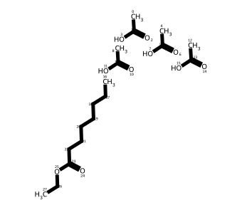 CC(=O)O.CC(=O)O.CC(=O)O.CC(=O)O.CCCCCCCC(=O)OCC